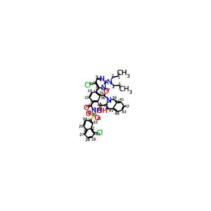 CCCN(CCC)c1ncc(Cl)c(-c2ccc(C(=O)NS(=O)(=O)c3ccc4cccc(Cl)c4c3)cc2C(=O)N2Cc3ccccc3CC2CO)n1